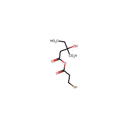 O=C(O)CC(O)(CC(=O)OC(=O)CCS)C(=O)O